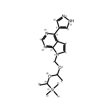 CC(OCn1ccc2c(-c3cn[nH]c3)ncnc21)OC(C)[Si](C)(C)C